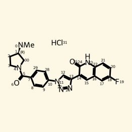 CN[C@@H]1CCN(C(=O)c2ccc(-n3cc(-c4cc5cc(F)ccc5[nH]c4=O)nn3)cc2)C1.Cl